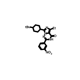 CCc1nc(C2CCC(C(C)(C)C)CC2)n2nc(-c3cccc([N+](=O)[O-])c3)[nH]c(=O)c12